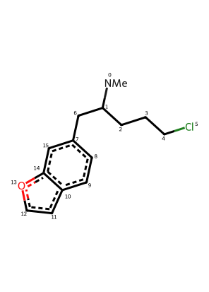 CNC(CCCCl)Cc1ccc2ccoc2c1